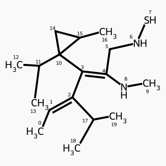 C/C=C(/C(=C(/CNS)NC)C1(C(C)C)CC1C)C(C)C